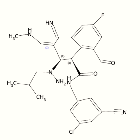 CN/C=C(\C=N)[C@@H]([C@H](C(=O)Nc1cc(Cl)cc(C#N)c1)c1ccc(F)cc1C=O)N(N)CC(C)C